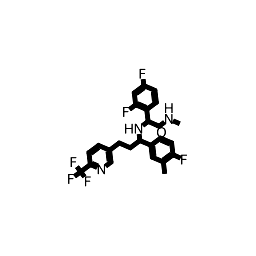 CNC(=O)C(NC(CCc1ccc(C(F)(F)F)nc1)c1ccc(F)c(C)c1)c1ccc(F)cc1F